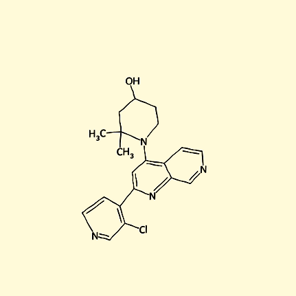 CC1(C)CC(O)CCN1c1cc(-c2ccncc2Cl)nc2cnccc12